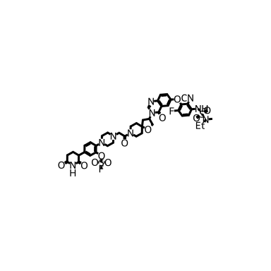 CCN(C)S(=O)(=O)Nc1ccc(F)c(Oc2ccc3ncn(C4COC5(CCN(C(=O)CN6CCN(c7ccc(C8CCC(=O)NC8=O)cc7OS(=O)(=O)F)CC6)CC5)C4)c(=O)c3c2)c1C#N